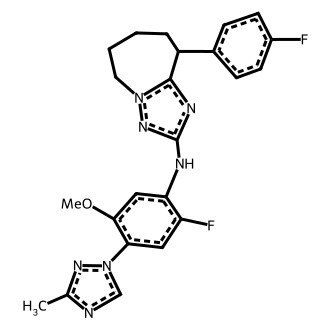 COc1cc(Nc2nc3n(n2)CCCCC3c2ccc(F)cc2)c(F)cc1-n1cnc(C)n1